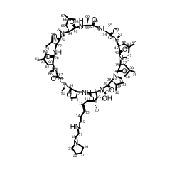 CC[C@@H]1NC(=O)[C@H]([C@H](O)[C@H](C)C/C=C/CCNCCN2CCCC2)N(C)C(=O)[C@H](C(C)C)N(C)C(=O)[C@H](CC(C)C)N(C)C(=O)[C@H](CC(C)C)N(C)C(=O)[C@@H](C)NC(=O)[C@H](C)NC(=O)[C@H](CC(C)C)N(C)C(=O)[C@H](C(C)C)NC(=O)[C@H](CC(C)C)N(C)C(=O)CN(C)C1=O